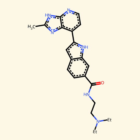 CCN(CC)CCNC(=O)c1ccc2cc(-c3ccnc4[nH]c(C)nc34)[nH]c2c1